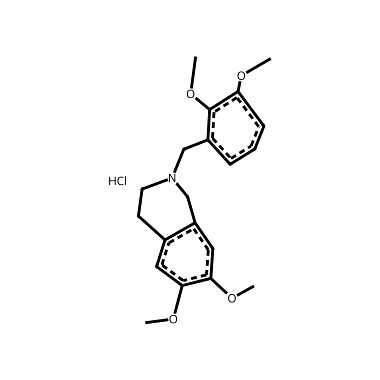 COc1cc2c(cc1OC)CN(Cc1cccc(OC)c1OC)CC2.Cl